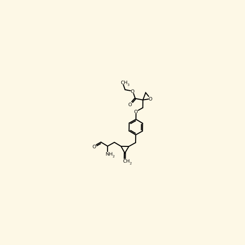 C=C1C(Cc2ccc(OCC3(C(=O)OCC)CO3)cc2)C1CC(N)C=O